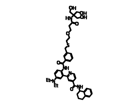 CCN(CC)c1ccc(NC(=O)c2cccc(CSCCOCCC(=O)NC(CO)(CO)CO)c2)c(-c2cc(C(=O)NC3CCCc4ccccc43)ccn2)c1